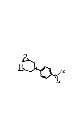 CC(=O)N(C(C)=O)c1ccc(N(CC2CO2)CC2CO2)cc1